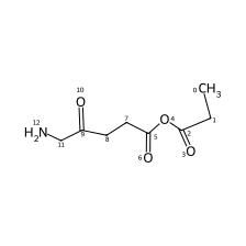 CCC(=O)OC(=O)CCC(=O)CN